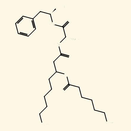 CCCCCCCCCCCCCCCC(=O)OC(CCCCCCCCCCCCCCC)CC(=O)N[C@H](C(=O)N[C@@H](Cc1ccccc1)C(=O)O)C(C)C